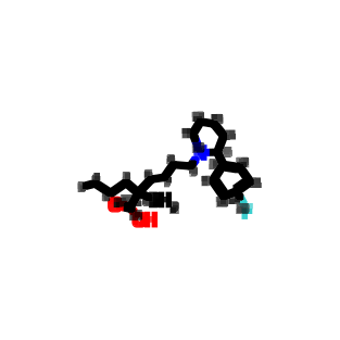 BC(CCCC)(CCCCN1CCCCC1c1ccc(F)cc1)C(=O)O